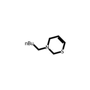 CCCCCN1CC=CSC1